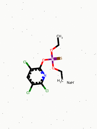 CCOP(=S)(OCC)Oc1nc(Cl)c(Cl)cc1Cl.[NaH]